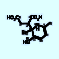 CCC1(C(CC(=O)O)C(=O)O)NC(C)=CC=C1O